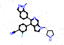 Cn1ncc2ccc(-c3ncc4c(ccn4C[C@@H]4CCNC4)c3-c3ccc(C#N)c(F)c3)cc21